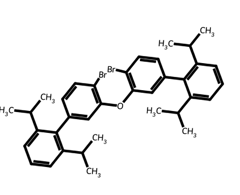 CC(C)c1cccc(C(C)C)c1-c1ccc(Br)c(Oc2cc(-c3c(C(C)C)cccc3C(C)C)ccc2Br)c1